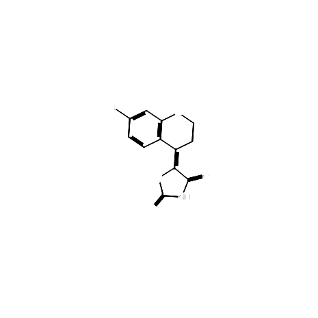 O=C1NC(=O)/C(=C2\CCSc3cc(Cl)ccc32)S1